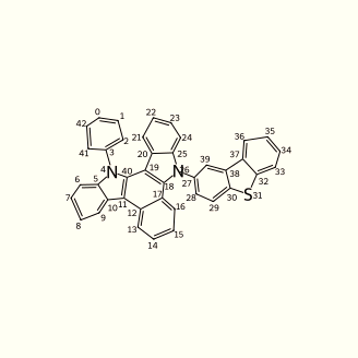 c1ccc(-n2c3ccccc3c3c4ccccc4c4c(c5ccccc5n4-c4ccc5sc6ccccc6c5c4)c32)cc1